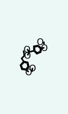 c1cc2c(cc1CC1COC(c3ccc4c(c3)OCO4)O1)OCO2